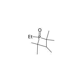 CCP1(=O)C(C)(C)C(C)C1(C)C